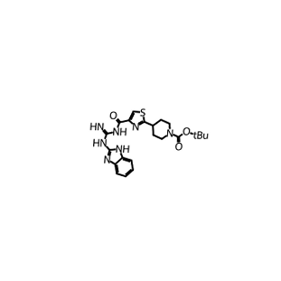 CC(C)(C)OC(=O)N1CCC(c2nc(C(=O)NC(=N)Nc3nc4ccccc4[nH]3)cs2)CC1